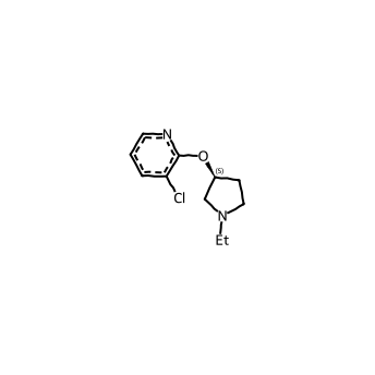 CCN1CC[C@H](Oc2ncccc2Cl)C1